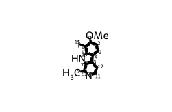 COc1ccc2c([nH]c3c(C)nccc32)c1I